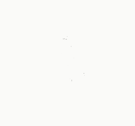 COC(=O)C(=O)c1ccnc(NC(=O)OC(C)(C)C)c1